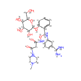 CN1CCN(C(=O)CC(=O)NOC(Nc2cccc(C(=N)N)c2)c2ccccc2OC2OC(CO)C(O)C(O)C2O)CC1